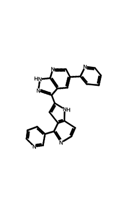 c1ccc(-c2cnc3[nH]nc(-c4cc5c(-c6cccnc6)nccc5[nH]4)c3c2)nc1